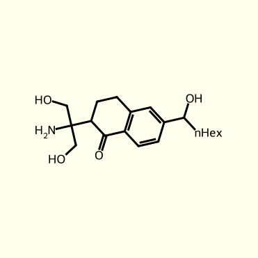 CCCCCCC(O)c1ccc2c(c1)CCC(C(N)(CO)CO)C2=O